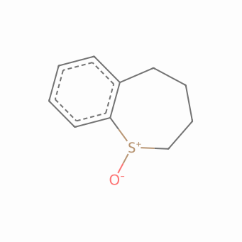 [O-][S+]1CCCCc2ccccc21